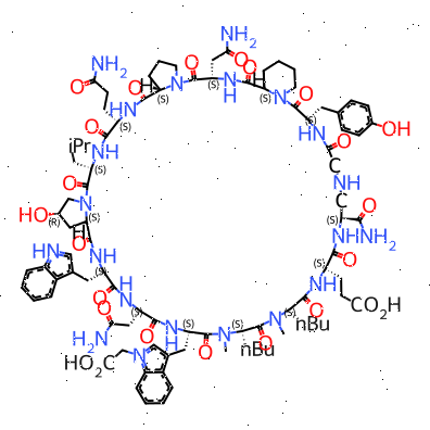 CCCC[C@H]1C(=O)N(C)[C@@H](CCCC)C(=O)N[C@@H](CCC(=O)O)C(=O)N[C@H](C(N)=O)CNCC(=O)N[C@@H](Cc2ccc(O)cc2)C(=O)N2CCCC[C@H]2C(=O)N[C@@H](CC(N)=O)C(=O)N2CCC[C@H]2C(=O)N[C@@H](CCC(N)=O)C(=O)N[C@@H](CC(C)C)C(=O)N2C[C@H](O)C[C@H]2C(=O)N[C@@H](Cc2c[nH]c3ccccc23)C(=O)N[C@@H](CC(N)=O)C(=O)N[C@@H](Cc2cn(CC(=O)O)c3ccccc23)C(=O)N1C